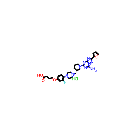 Cl.Nc1nc(N2CCC[C@@H](CN3CCN(c4ccc(OCCCC(=O)O)cc4F)CC3)C2)nc2nc(-c3ccco3)nn12